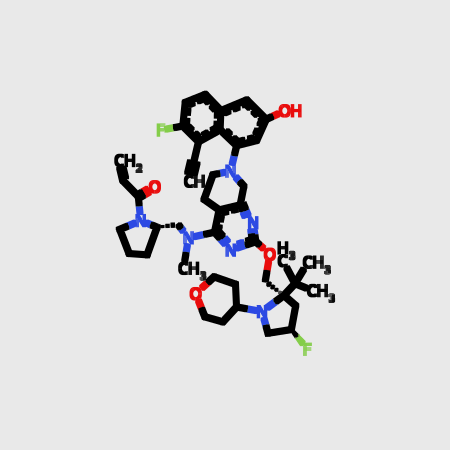 C#Cc1c(F)ccc2cc(O)cc(N3CCc4c(nc(OC[C@]5(C(C)(C)C)C[C@@H](F)CN5C5CCOCC5)nc4N(C)C[C@@H]4CCCN4C(=O)C=C)C3)c12